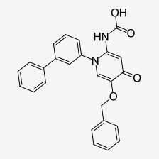 O=C(O)Nc1cc(=O)c(OCc2ccccc2)cn1-c1cccc(-c2ccccc2)c1